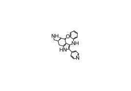 NCC1CC(=O)c2c([nH]c(-c3ccncc3)c2Nc2ccccc2)C1